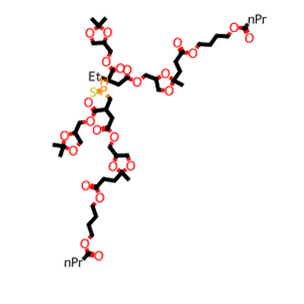 CCCC(=O)OCCCCOC(=O)CCC1(C)OCC(COC(=O)CC(C[PH](=S)C(CC)(CC(=O)OCC2COC(C)(CCC(=O)OCCCCOC(=O)CCC)O2)C(=O)OCC2COC(C)(C)O2)C(=O)OCC2COC(C)(C)O2)O1